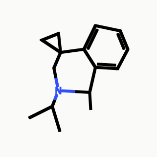 CC(C)N1CC2(CC2)c2ccccc2C1C